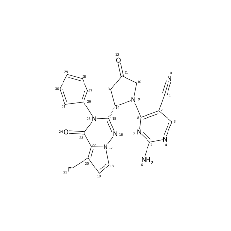 N#Cc1cnc(N)nc1N1CC(=O)C[C@H]1c1nn2ccc(F)c2c(=O)n1-c1ccccc1